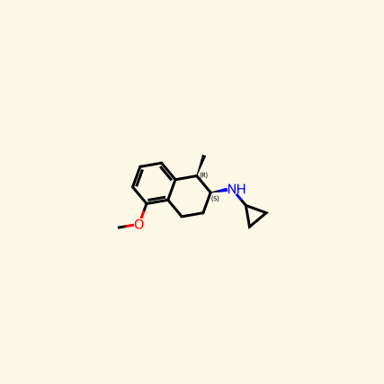 COc1cccc2c1CC[C@H](NC1CC1)[C@@H]2C